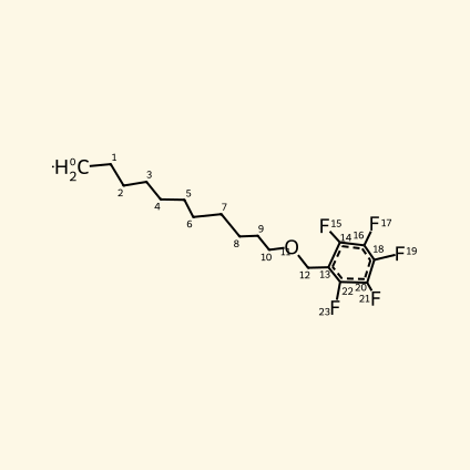 [CH2]CCCCCCCCCCOCc1c(F)c(F)c(F)c(F)c1F